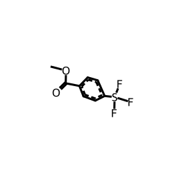 COC(=O)c1ccc(S(F)(F)F)cc1